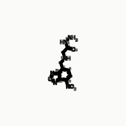 NNC(=O)CNCc1ccc([N+](=O)[O-])c2nonc12